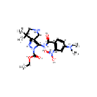 CCOC(=O)n1nc2c(c1NC(=O)c1ccc(N(C)C)cc1[N+](=O)[O-])CNCC2(C)C